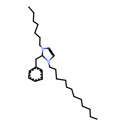 CCCCCCCCCCCCN1C=CN(CCCCCCC)C1Cc1ccccc1